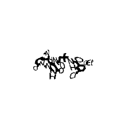 CCOc1ccc(Cl)cc1C(=O)NCC(C)(C)CC(=O)Nc1c(C(CN(C)C)c2cccc(Cl)n2)n(C)[nH]c1=O